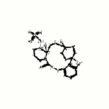 O=C1COc2cccc(F)c2[C@H]2CC[C@H](CC2)OC[C@H]2[C@@H](NS(=O)(=O)C(F)(F)F)CCCN12